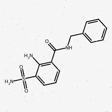 Nc1c(C(=O)NCc2ccccc2)cccc1S(N)(=O)=O